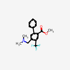 COC(=O)c1cc(C(F)(F)F)c(CN(C)C)cc1-c1ccccc1